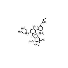 CCNCC1=CC[C@@H](N)[C@@H](C2[C@@H](N)C[C@@H](NC(CO)CO)[C@H](O[C@H]3OC[C@](C)(O)[C@H](NC)[C@H]3O)[C@H]2O)O1